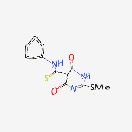 CSC1=NC(=O)C(C(=S)Nc2ccccc2)C(=O)N1